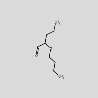 [CH2]CCC(C=O)OCCCC